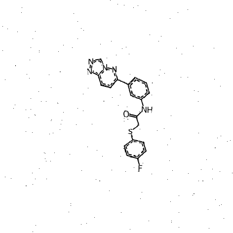 O=C(CSc1ccc(F)cc1)Nc1cccc(-c2ccc3nncn3n2)c1